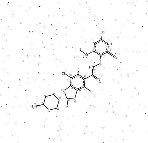 COc1cc(C)[nH]c(=O)c1CNC(=O)c1cc(Cl)c2c(c1C)OC(C)([C@H]1CC[C@H](N)CC1)O2